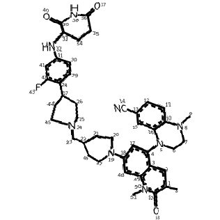 Cc1cc2c(N3CCN(C)c4ccc(C#N)cc43)cc(N3CCC(CN4CCC(c5ccc(NC6CCC(=O)NC6=O)cc5F)CC4)CC3)cc2n(C)c1=O